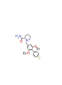 CCOc1cc(CN2CC[CH]CC2C(N)=O)cc(OCC)c1-c1ccc(F)cc1